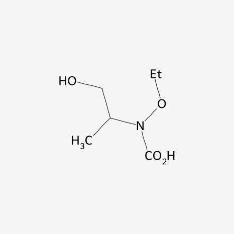 CCON(C(=O)O)C(C)CO